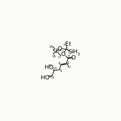 CCC([SiH3])(OC(=O)C(C)=CCC(O)CO)O[Si](C)(C)C